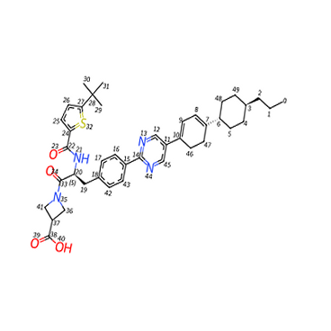 CCC[C@H]1CC[C@H](C2=CC=C(c3cnc(-c4ccc(C[C@H](NC(=O)c5ccc(C(C)(C)C)s5)C(=O)N5CC(C(=O)O)C5)cc4)nc3)CC2)CC1